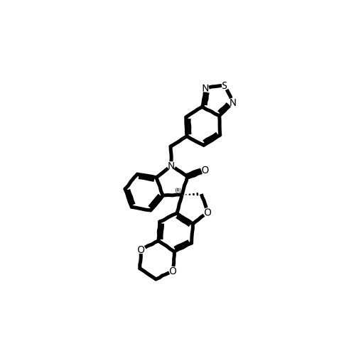 O=C1N(Cc2ccc3nsnc3c2)c2ccccc2[C@@]12COc1cc3c(cc12)OCCO3